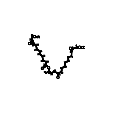 CCCCCCCCC1OC1CCCCCCCC(=O)OCC(C)OC(=O)CCCCCCCC1OC1CCCCCCCC